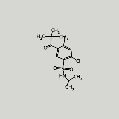 CC(C)NS(=O)(=O)c1cc(C(=O)C(C)(C)C)c(F)cc1Cl